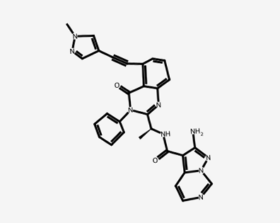 C[C@H](NC(=O)c1c(N)nn2cnccc12)c1nc2cccc(C#Cc3cnn(C)c3)c2c(=O)n1-c1ccccc1